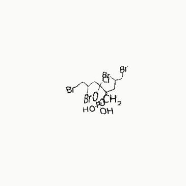 C=C(CC(Br)CBr)C(Cl)(CC(Br)CBr)OP(=O)(O)O